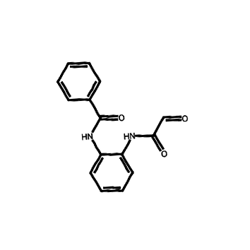 O=CC(=O)Nc1ccccc1NC(=O)c1ccccc1